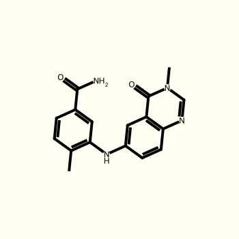 Cc1ccc(C(N)=O)cc1Nc1ccc2ncn(C)c(=O)c2c1